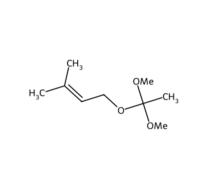 COC(C)(OC)OCC=C(C)C